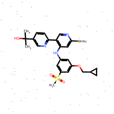 CC(=O)Nc1cc(Nc2cc(OCC3CC3)cc(S(C)(=O)=O)c2)c(-c2ccc(C(C)(C)O)cn2)cn1